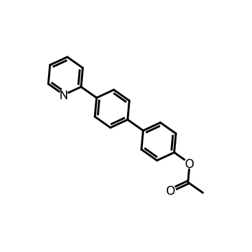 CC(=O)Oc1ccc(-c2ccc(-c3ccccn3)cc2)cc1